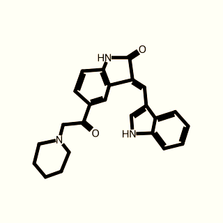 O=C1Nc2ccc(C(=O)CN3CCCCC3)cc2/C1=C\c1c[nH]c2ccccc12